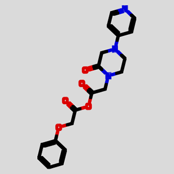 O=C(COc1ccccc1)OC(=O)CN1CCN(c2ccncc2)CC1=O